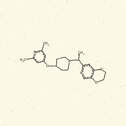 Cc1cc(OC2CCN(C(C)c3cc4c(cn3)OCCO4)CC2)cc(C)n1